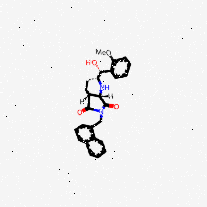 COc1ccccc1[C@@H](O)[C@H]1CC[C@H]2C(=O)N(Cc3cccc4ccccc34)C(=O)[C@H]2N1